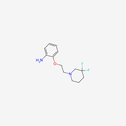 Nc1cc[c]cc1OCCN1CCCC(F)(F)C1